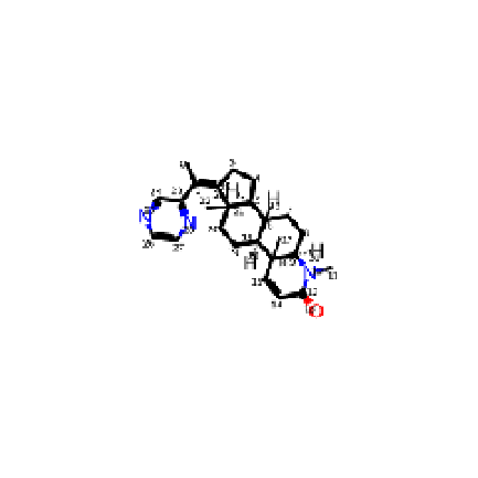 CC(=C1CC[C@H]2[C@@H]3CC[C@H]4N(C)C(=O)C=C[C@]4(C)[C@H]3CC[C@]12C)c1cnccn1